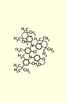 Cc1cc(N(c2ccc3c(c2)C(C)(C)CCC3(C)C)c2ccc3c(c2)C(C)(C)CCC3(C)C)c(Cl)c(N(c2ccc3c(c2)OCCO3)c2c(C)cc(C(C)(C)C)cc2C)c1